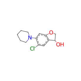 OC1COc2cc(N3CCCCC3)c(Cl)cc21